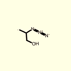 [CH2]C(CO)N=[N+]=[N-]